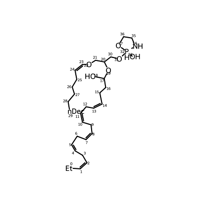 CC/C=C\C/C=C\C/C=C\C/C=C\C/C=C\CCC(O)OC(CO/C=C\CCCCCCCCCCCCCC)CO[PH]1(O)NCCO1